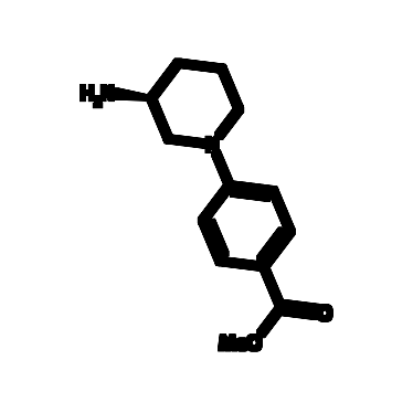 COC(=O)c1ccc(N2CCC[C@H](N)C2)cc1